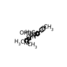 Cc1cc2oc(/C(=N/c3ccc(N4CCN(C)CC4)cc3C)NC=O)cc2c(C)n1